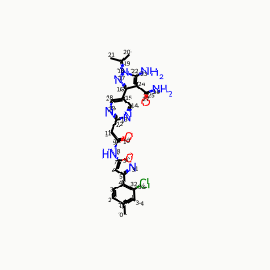 Cc1ccc(-c2cc(NC(=O)Cc3ncc(-c4nn(C(C)C)c(N)c4C(N)=O)cn3)on2)c(Cl)c1